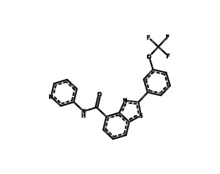 O=C(Nc1cccnc1)c1cccc2sc(-c3cccc(OC(F)(F)F)c3)nc12